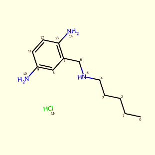 CCCCCNCc1cc(N)ccc1N.Cl